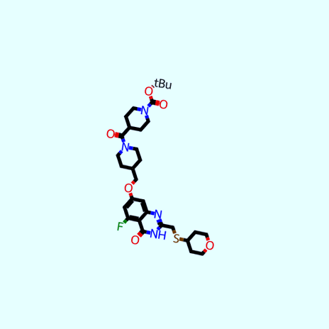 CC(C)(C)OC(=O)N1CCC(C(=O)N2CCC(COc3cc(F)c4c(=O)[nH]c(CSC5CCOCC5)nc4c3)CC2)CC1